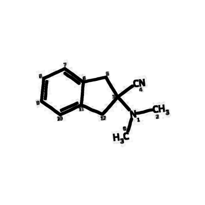 CN(C)C1(C#N)Cc2ccccc2C1